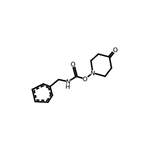 O=C1CCN(OC(=O)NCc2ccccc2)CC1